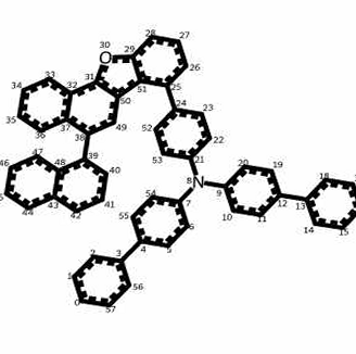 c1ccc(-c2ccc(N(c3ccc(-c4ccccc4)cc3)c3ccc(-c4cccc5oc6c7ccccc7c(-c7cccc8ccccc78)cc6c45)cc3)cc2)cc1